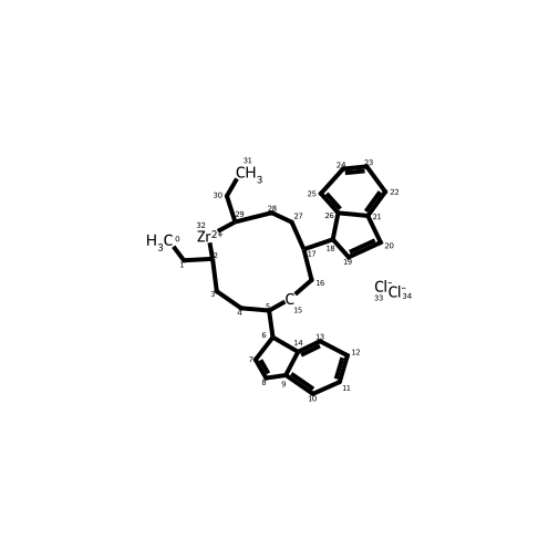 CC[CH]1CCC(C2C=Cc3ccccc32)CCC(C2C=Cc3ccccc32)CC[CH](CC)[Zr+2]1.[Cl-].[Cl-]